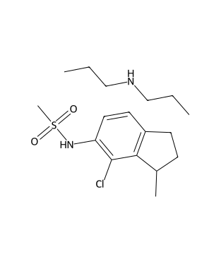 CC1CCc2ccc(NS(C)(=O)=O)c(Cl)c21.CCCNCCC